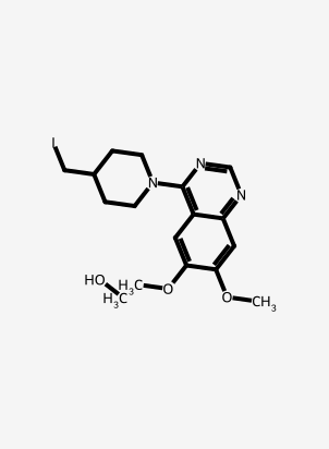 CO.COc1cc2ncnc(N3CCC(CI)CC3)c2cc1OC